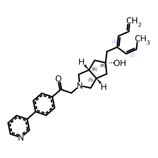 C=C/C=C(\C=C/C)C[C@]1(O)C[C@H]2CN(CC(=O)c3ccc(-c4cccnc4)cc3)C[C@H]2C1